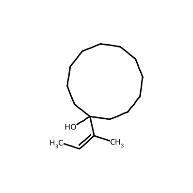 C/C=C(/C)C1(O)CCCCCCCCCCC1